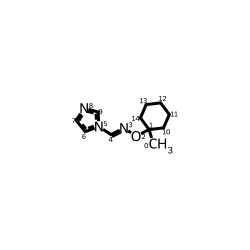 CC1(ON=Cn2ccnc2)CCCCC1